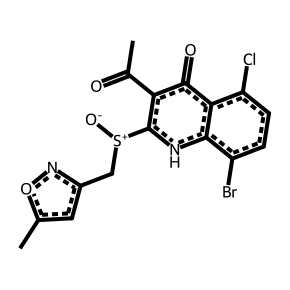 CC(=O)c1c([S+]([O-])Cc2cc(C)on2)[nH]c2c(Br)ccc(Cl)c2c1=O